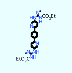 CCOC(=O)NC(=NC)Nc1ccc(-c2ccc(-c3ccc(NC(=NC)NC(=O)OCC)cn3)cc2)nc1